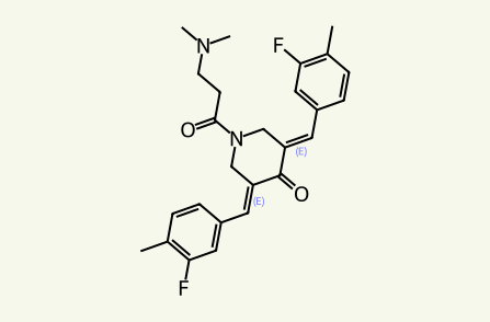 Cc1ccc(/C=C2\CN(C(=O)CCN(C)C)C/C(=C\c3ccc(C)c(F)c3)C2=O)cc1F